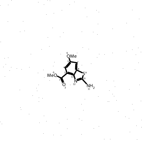 COC(=O)c1cc(OC)cc2sc(N)nc12